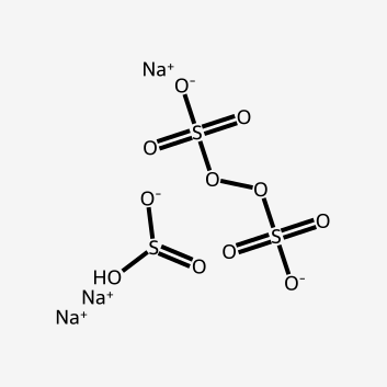 O=S(=O)([O-])OOS(=O)(=O)[O-].O=S([O-])O.[Na+].[Na+].[Na+]